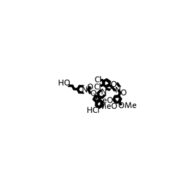 COc1cc(C(=O)N2CCO[C@@](CCN3CCC4(CC3)c3ccccc3C[C@@H]4OCC(=O)N3CCC(CCCO)CC3)(c3ccc(Cl)c(Cl)c3)C2)cc(OC)c1OC.Cl